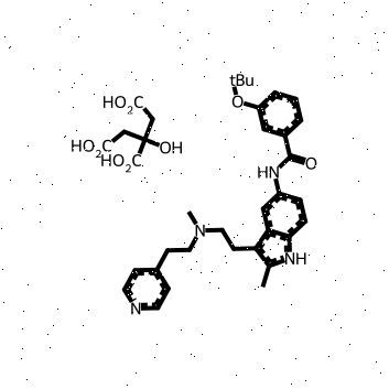 Cc1[nH]c2ccc(NC(=O)c3cccc(OC(C)(C)C)c3)cc2c1CCN(C)CCc1ccncc1.O=C(O)CC(O)(CC(=O)O)C(=O)O